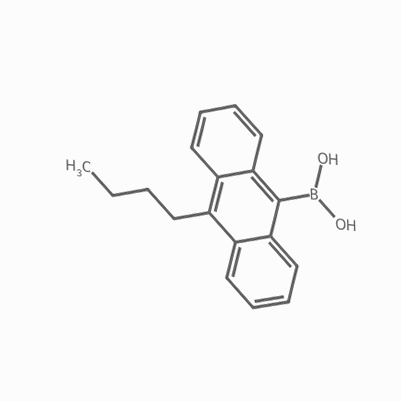 CCCCc1c2ccccc2c(B(O)O)c2ccccc12